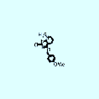 COc1ccc(COc2nc(Cl)nc3c2CCCN3C)cc1